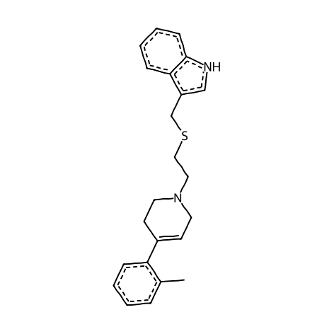 Cc1ccccc1C1=CCN(CCSCc2c[nH]c3ccccc23)CC1